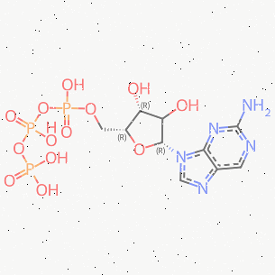 Nc1ncc2ncn([C@@H]3O[C@H](COP(=O)(O)OP(=O)(O)OP(=O)(O)O)[C@H](O)C3O)c2n1